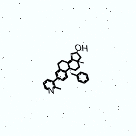 Cc1ncccc1-c1ccc2c(c1)CCC1=C3C[C@H](O)C[C@]3(C)CC[C@]12Cc1ccccc1